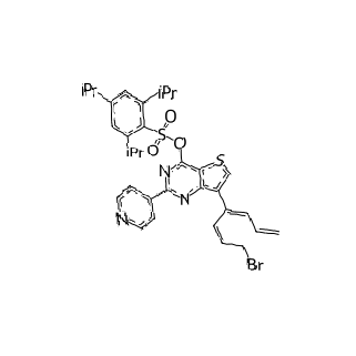 C=C/C=C(\C=C/CBr)c1csc2c(OS(=O)(=O)c3c(C(C)C)cc(C(C)C)cc3C(C)C)nc(-c3ccncc3)nc12